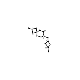 CC1CC2(CCN(CC3CN(C)C3)CC2)C1